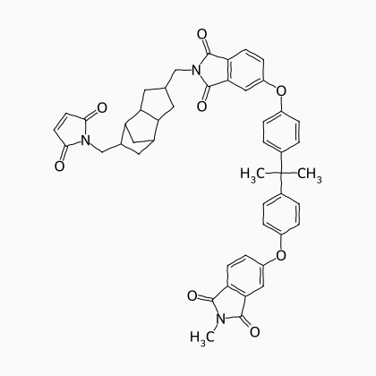 CN1C(=O)c2ccc(Oc3ccc(C(C)(C)c4ccc(Oc5ccc6c(c5)C(=O)N(CC5CC7C8CC(CN9C(=O)C=CC9=O)C(C8)C7C5)C6=O)cc4)cc3)cc2C1=O